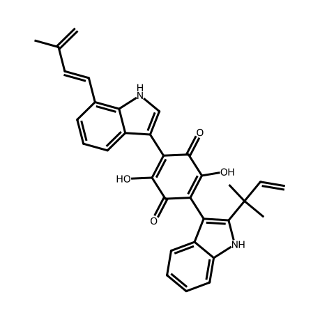 C=CC(C)(C)c1[nH]c2ccccc2c1C1=C(O)C(=O)C(c2c[nH]c3c(/C=C/C(=C)C)cccc23)=C(O)C1=O